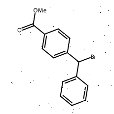 COC(=O)c1ccc(C(Br)c2ccccc2)cc1